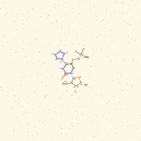 CC[C@H]1O[C@@H](n2cc(CO[Si](C)(C)C(C)(C)C)c(-n3cncn3)nc2=O)C(OC(C)=O)[C@H]1C